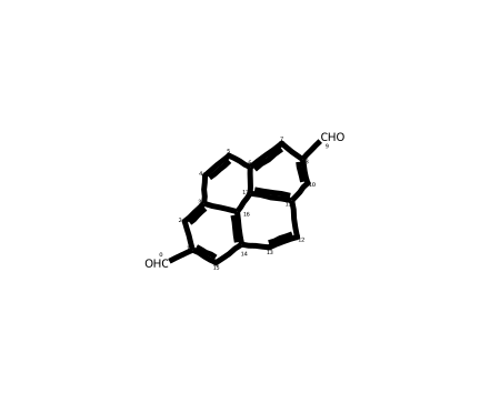 O=Cc1cc2ccc3cc(C=O)cc4ccc(c1)c2c34